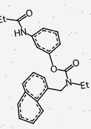 CCC(=O)Nc1cccc(OC(=O)N(CC)Cc2cccc3ccccc23)c1